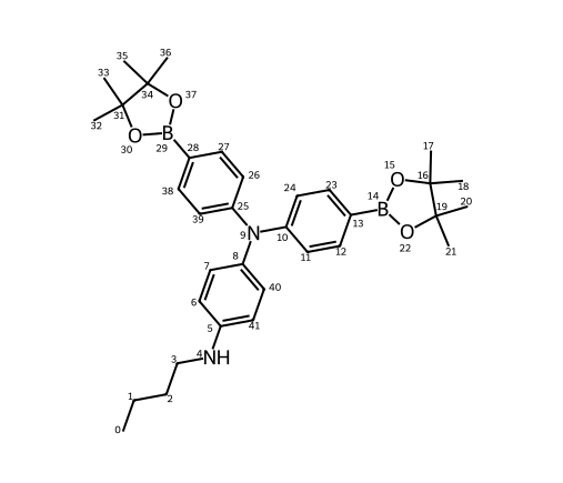 CCCCNc1ccc(N(c2ccc(B3OC(C)(C)C(C)(C)O3)cc2)c2ccc(B3OC(C)(C)C(C)(C)O3)cc2)cc1